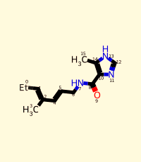 CCC=C(C)C=CCNC(=O)c1nc[nH]c1C